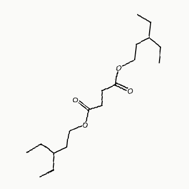 CCC(CC)CCOC(=O)CCC(=O)OCCC(CC)CC